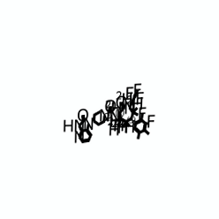 [2H]C1([2H])[C@@H](c2cc(C)c(C)c(F)c2F)C(C)(C)N(C([2H])([2H])C(F)(F)F)C(=O)[C@]([2H])(NC(=O)N2CCC(n3c(=O)[nH]c4ncccc43)CC2)C1([2H])[2H]